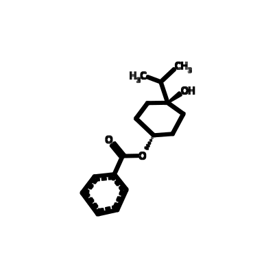 CC(C)[C@]1(O)CC[C@H](OC(=O)c2ccccc2)CC1